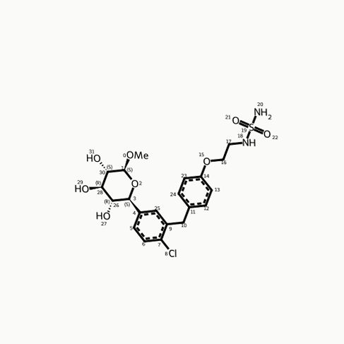 CO[C@H]1O[C@@H](c2ccc(Cl)c(Cc3ccc(OCCNS(N)(=O)=O)cc3)c2)[C@H](O)[C@@H](O)[C@@H]1O